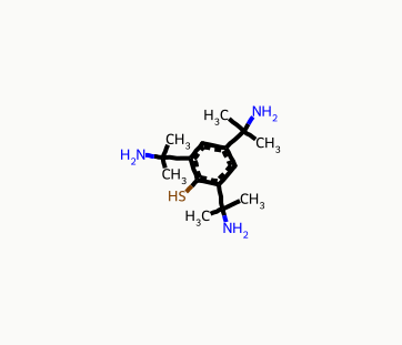 CC(C)(N)c1cc(C(C)(C)N)c(S)c(C(C)(C)N)c1